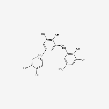 O=C(O)c1cc(O)c(O)c(O)c1.O=C(O)c1cc(O)c(O)c(O)c1.Oc1ccccc1O